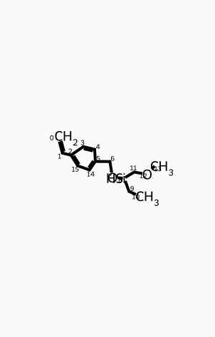 C=Cc1ccc(CO[SiH](CC)COC)cc1